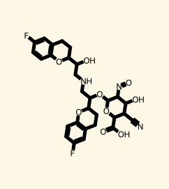 N#CC1C(C(=O)O)OC(OC(CNCC(O)C2CCc3cc(F)ccc3O2)C2CCc3cc(F)ccc3O2)C(N=O)C1O